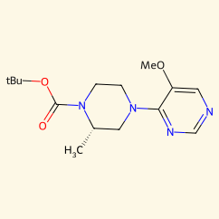 COc1cncnc1N1CCN(C(=O)OC(C)(C)C)[C@@H](C)C1